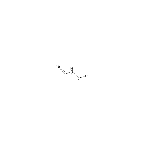 O=[C]NCF